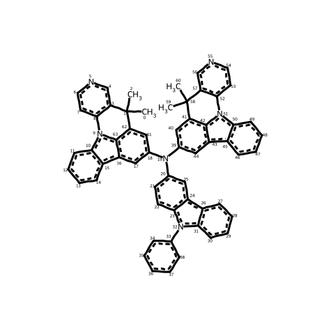 CC1(C)c2cnccc2-n2c3ccccc3c3cc(N(c4ccc5c(c4)c4ccccc4n5-c4ccccc4)c4cc5c6c(c4)c4ccccc4n6-c4ccncc4C5(C)C)cc1c32